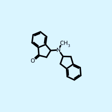 CN(C1Cc2ccccc2C1)C1CC(=O)c2ccccc21